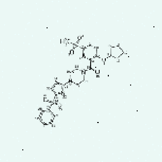 CS(=O)(=O)c1ccc(OC2CCCC2)c(C(=O)N2CCN(c3nc(S(=O)(=O)c4ccccc4)cs3)CC2)c1